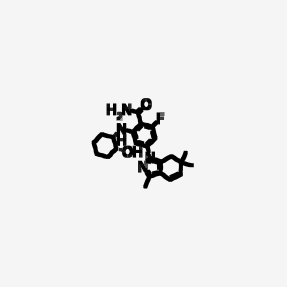 Cc1nn(-c2cc(F)c(C(N)=O)c(N[C@@H]3CCCC[C@H]3O)c2)c2c1C=CC(C)(C)C2